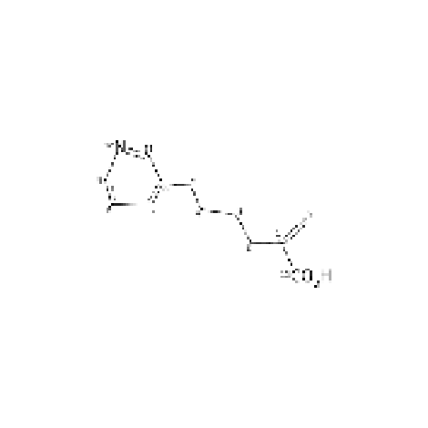 C=C(CCCCc1cccnc1)C(=O)O